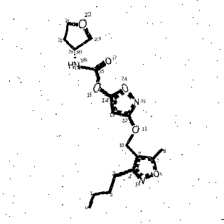 CCCCc1noc(C)c1COc1cc(OC(=O)N[C@@H]2CCOC2)on1